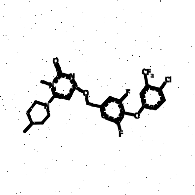 CC1CCN(c2cc(OCc3cc(F)c(Oc4ccc(Cl)c(C(F)(F)F)c4)c(F)c3)nc(=O)n2C)CC1